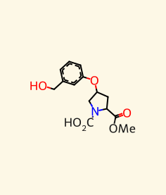 COC(=O)C1CC(Oc2cccc(CO)c2)CN1C(=O)O